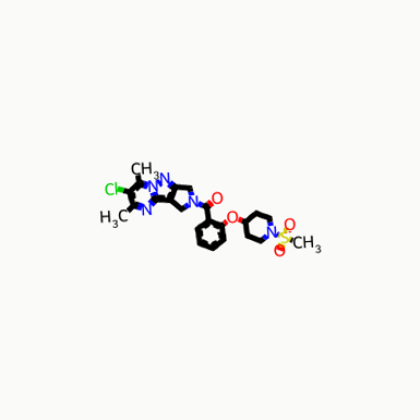 Cc1nc2c3c(nn2c(C)c1Cl)CN(C(=O)c1ccccc1OC1CCN(S(C)(=O)=O)CC1)C3